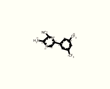 N#Cc1nc(-c2cc(C(F)(F)F)cc(C(F)(F)F)c2)cnc1N